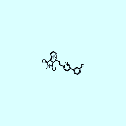 CN1C(=O)C2=C3C=CCN3C(C=Cc3ccc(-c4cccc(F)c4)cn3)C2C1=O